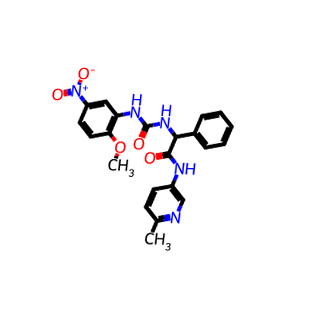 COc1ccc([N+](=O)[O-])cc1NC(=O)NC(C(=O)Nc1ccc(C)nc1)c1ccccc1